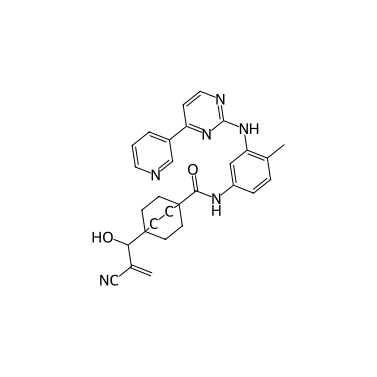 C=C(C#N)C(O)C12CCC(C(=O)Nc3ccc(C)c(Nc4nccc(-c5cccnc5)n4)c3)(CC1)CC2